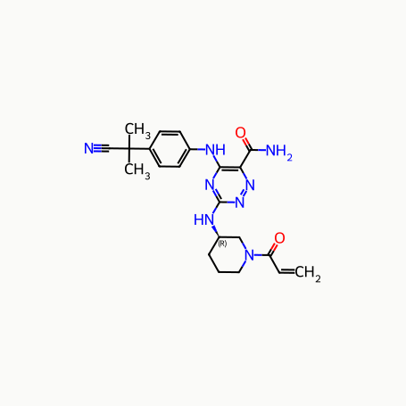 C=CC(=O)N1CCC[C@@H](Nc2nnc(C(N)=O)c(Nc3ccc(C(C)(C)C#N)cc3)n2)C1